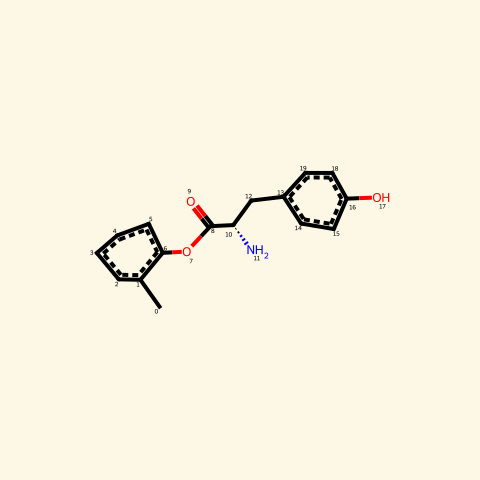 Cc1ccccc1OC(=O)[C@@H](N)Cc1ccc(O)cc1